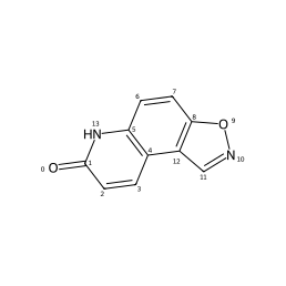 O=c1ccc2c(ccc3oncc32)[nH]1